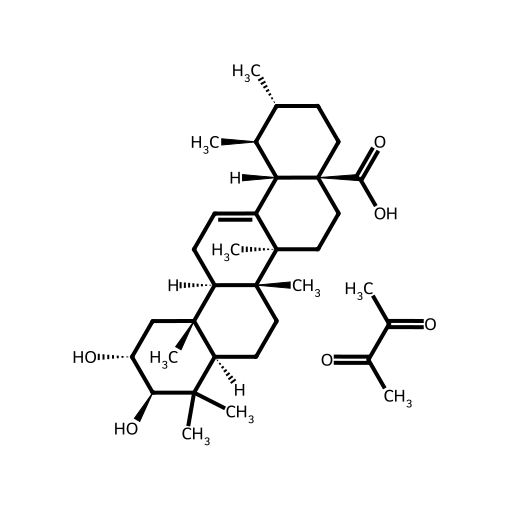 CC(=O)C(C)=O.C[C@H]1[C@H](C)CC[C@]2(C(=O)O)CC[C@]3(C)C(=CC[C@@H]4[C@@]5(C)C[C@@H](O)[C@H](O)C(C)(C)[C@@H]5CC[C@]43C)[C@H]12